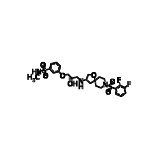 CNS(=O)(=O)c1cccc(OC[C@@H](O)CNC2COC3(CCN(S(=O)(=O)c4cccc(F)c4F)CC3)C2)c1